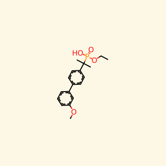 CCOP(=O)(O)C(C)(C)c1ccc(-c2cccc(OC)c2)cc1